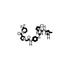 Cc1cc(Nc2nc(Sc3ccc(NC(=O)CN4CCC(C(=O)N5CCCC(F)(F)C5)C4)cc3)nc3ccc(Cl)n23)n[nH]1